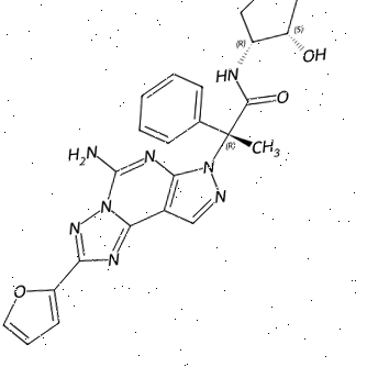 C[C@](C(=O)N[C@@H]1CCC[C@@H]1O)(c1ccccc1)n1ncc2c1nc(N)n1nc(-c3ccco3)nc21